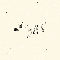 CCC(=O)O[C@H]1NC(=O)[C@@H]1C(C)O[Si](C)(C)C(C)(C)C